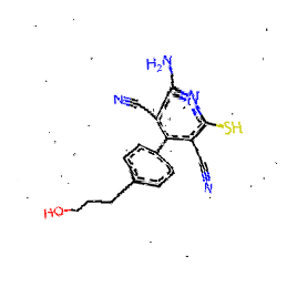 N#Cc1c(N)nc(S)c(C#N)c1-c1ccc(CCCO)cc1